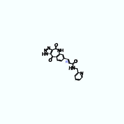 O=C(/C=C/c1ccc2c(=O)c3[nH]nnc3c(=O)[nH]c2c1)NCc1ccccn1